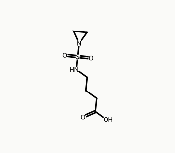 O=C(O)CCCNS(=O)(=O)N1CC1